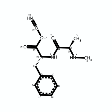 CN[C@H](C)C(=O)N[C@H](Cc1ccccc1)C(=O)OB=N